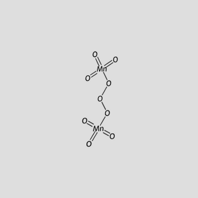 [O]=[Mn](=[O])(=[O])[O]O[O][Mn](=[O])(=[O])=[O]